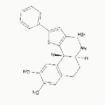 Br.Oc1cc2c(cc1O)[C@@H]1c3sc(-c4ccccc4)cc3CN[C@H]1CC2